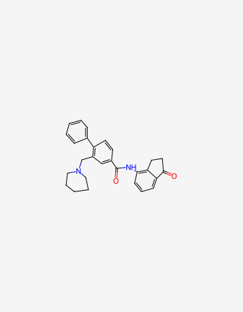 O=C(Nc1cccc2c1CCC2=O)c1ccc(-c2ccccc2)c(CN2CCCCC2)c1